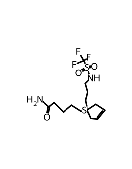 NC(=O)CCCC[Si]1(CCCNS(=O)(=O)C(F)(F)F)CC=CC1